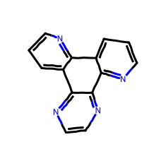 c1cnc2c(c1)c1ncccc1c1nccnc21